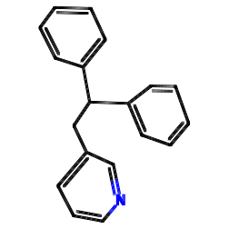 c1ccc(C(Cc2cccnc2)c2ccccc2)cc1